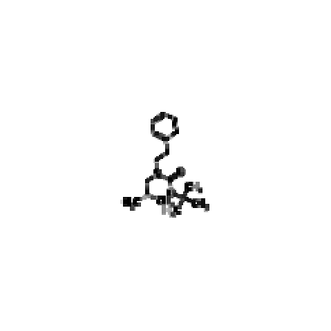 [CH2][C@@H](C)CN(CCc1ccccc1)C(=O)OC(C)(C)C